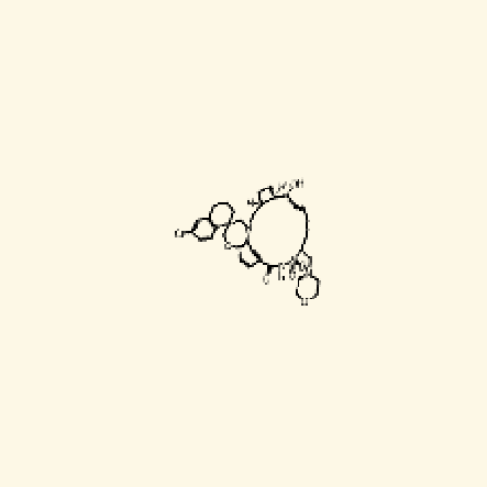 O=C1NS(=O)(=O)[C@H](CN2CCOCC2)CC/C=C/[C@H](O)[C@@H]2CC[C@H]2CN2C[C@@]3(CCCc4cc(Cl)ccc43)COc3ccc1cc32